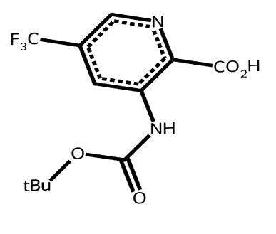 CC(C)(C)OC(=O)Nc1cc(C(F)(F)F)cnc1C(=O)O